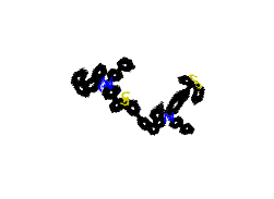 c1ccc(-c2ccc(N(c3ccc(-c4cccc5c4sc4ccc(-c6ccc7ccc8cc(N(c9ccc(-c%10ccccc%10)cc9)c9ccc(-c%10cccc%11sc%12ccccc%12c%10%11)cc9)c9ccccc9c8c7c6)cc45)cc3)c3cc4ccc5ccccc5c4c4ccccc34)cc2)cc1